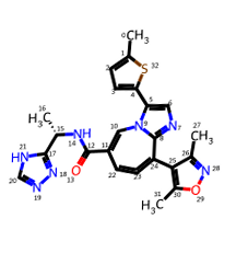 Cc1ccc(-c2cnc3n2C=C(C(=O)N[C@@H](C)c2nnc[nH]2)C=C=C3c2c(C)noc2C)s1